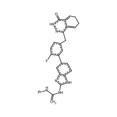 C=C(Nc1nc2cc(-c3cc(Cc4n[nH]c(=O)c5c4=CCCC=5)ccc3F)ccc2[nH]1)NC(C)C